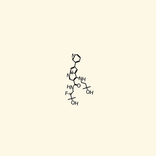 CC(C)(O)CCNc1c(C(=O)NC[C@@H](F)C(C)(C)O)cnn2cc(-c3cccnc3)cc12